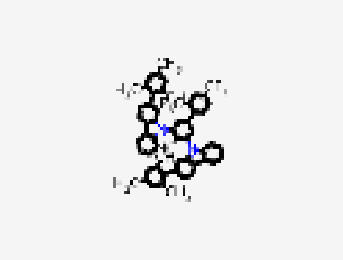 Cc1cc(C)c(-c2ccc3c4ccccc4n(-c4cc(-c5ccc(C(F)(F)F)cc5C(F)(F)F)cc(-n5c6ccccc6c6ccc(-c7c(C)cc(C)cc7C)cc65)c4C#N)c3c2)c(C)c1